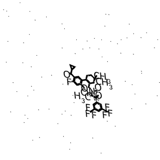 COc1cc(F)c(C(=O)C2CC2)cc1C1=C(CN2C(=O)O[C@H](c3cc(C(F)(F)F)cc(C(F)(F)F)c3)[C@@H]2C)CC(C)(C)CC1